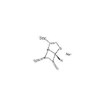 C=C1C(=O)N2C(C(=O)[O-])=CS[C@H]12.[Na+]